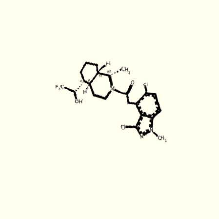 C[C@H]1[C@H]2CCC[C@@H](C(O)C(F)(F)F)[C@@H]2CCN1C(=O)Cc1c(Cl)ccc2c1c(Cl)nn2C